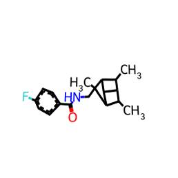 CC1C2C(C)C3C2C1C3(C)CNC(=O)c1ccc(F)cc1